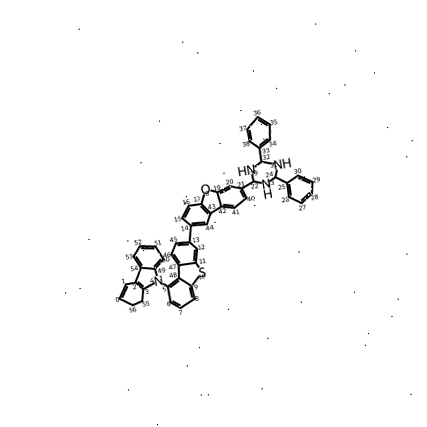 C1=Cc2c(n(-c3cccc4sc5cc(-c6ccc7oc8cc(C9NC(c%10ccccc%10)NC(c%10ccccc%10)N9)ccc8c7c6)ccc5c34)c3ccccc23)CC1